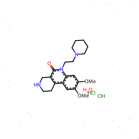 COc1cc2c3c(c(=O)n(CCN4CCCCC4)c2cc1OC)CNCC3.Cl.Cl.O